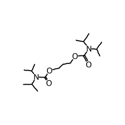 CC(C)N(C(=O)OCCCOC(=O)N(C(C)C)C(C)C)C(C)C